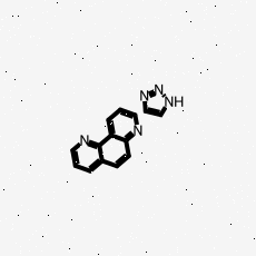 c1c[nH]nn1.c1cnc2c(c1)ccc1ncccc12